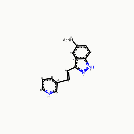 CC(=O)Nc1ccc2[nH]nc(/C=C/c3cccnc3)c2c1